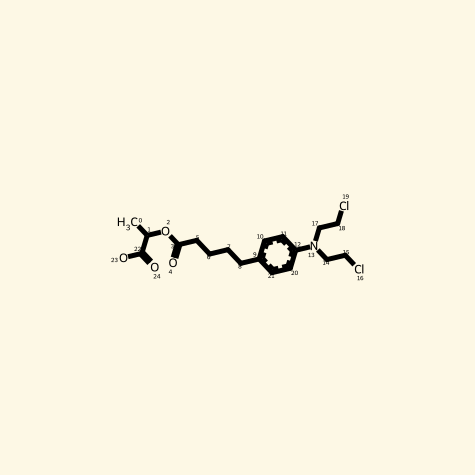 CC(OC(=O)CCCCc1ccc(N(CCCl)CCCl)cc1)C([O])=O